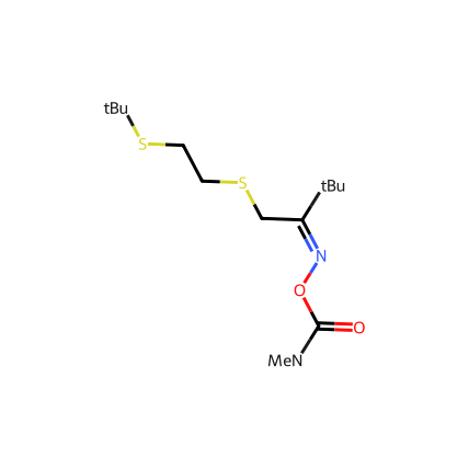 CNC(=O)ON=C(CSCCSC(C)(C)C)C(C)(C)C